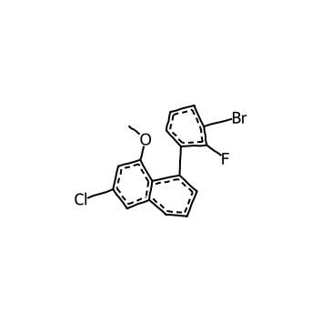 COc1cc(Cl)cc2cccc(-c3cccc(Br)c3F)c12